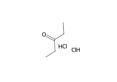 CCC(=O)CC.Cl.Cl